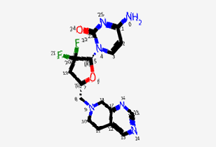 Nc1ccn([C@@H]2O[C@H](CN3CCc4cncnc4C3)CC2(F)F)c(=O)n1